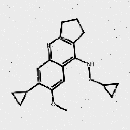 COc1cc2c(NCC3CC3)c3c(nc2cc1C1CC1)CCC3